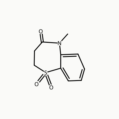 CN1C(=O)CCS(=O)(=O)c2ccccc21